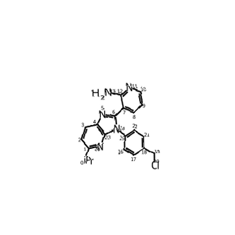 CC(C)c1ccc2nc(-c3cccnc3N)n(-c3ccc(CCl)cc3)c2n1